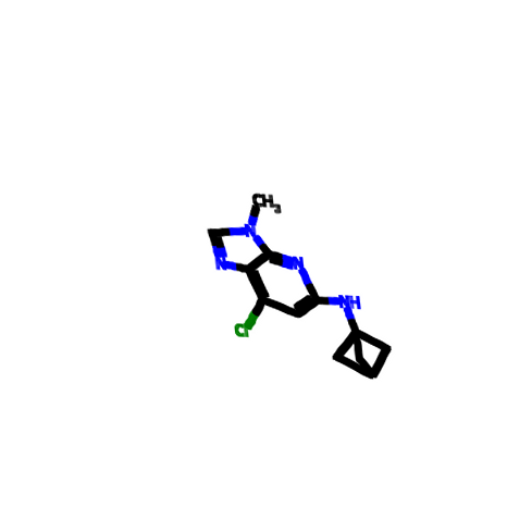 Cn1cnc2c(Cl)cc(NC34CC(C3)C4)nc21